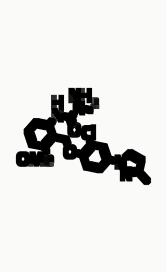 COc1cccc(NC(=O)N(C)N)c1COc1ccc(-n2ccc(C)n2)cc1Cl